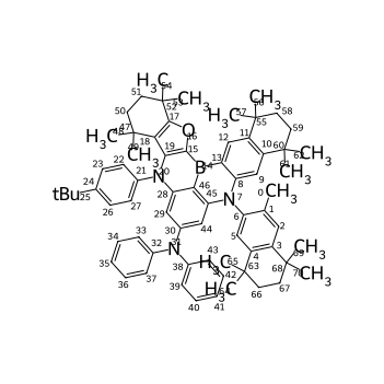 Cc1cc2c(cc1N1c3cc4c(cc3B3c5oc6c(c5N(c5ccc(C(C)(C)C)cc5)c5cc(N(c7ccccc7)c7ccccc7)cc1c53)C(C)(C)CCC6(C)C)C(C)(C)CCC4(C)C)C(C)(C)CCC2(C)C